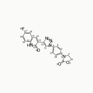 O=C1OCCN1c1ccc(-n2cc(-c3cc4cc(F)ccc4[nH]c3=O)nn2)cc1